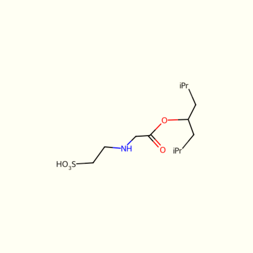 CC(C)CC(CC(C)C)OC(=O)CNCCS(=O)(=O)O